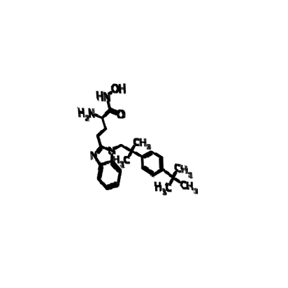 CC(C)(C)c1ccc(C(C)(C)Cn2c(CCC(N)C(=O)NO)nc3ccccc32)cc1